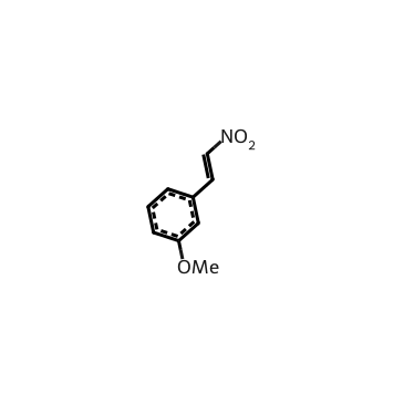 COc1cccc(/C=C/[N+](=O)[O-])c1